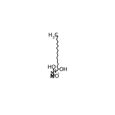 CCCCCCCCCCCCCC[C@@H](O)[C@@H](O)[C@H](CO)N=[N+]=[N-]